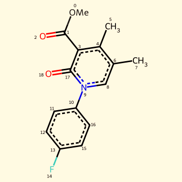 COC(=O)c1c(C)c(C)cn(-c2ccc(F)cc2)c1=O